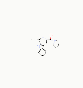 CCOC(=O)C1=CNC(C(=O)N2CCCCC2)Cc2c1[nH]c1ccccc21